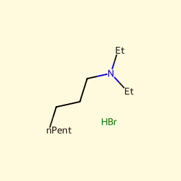 Br.CCCCCCCCN(CC)CC